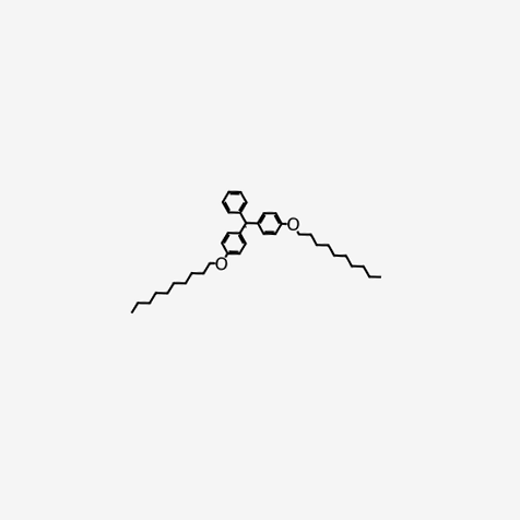 CCCCCCCCCCOc1ccc([C](c2ccccc2)c2ccc(OCCCCCCCCCC)cc2)cc1